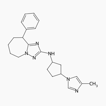 Cc1cn(C2CCC(Nc3nc4n(n3)CCCCC4c3ccccc3)C2)cn1